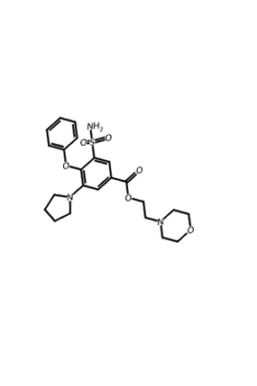 NS(=O)(=O)c1cc(C(=O)OCCN2CCOCC2)cc(N2CCCC2)c1Oc1ccccc1